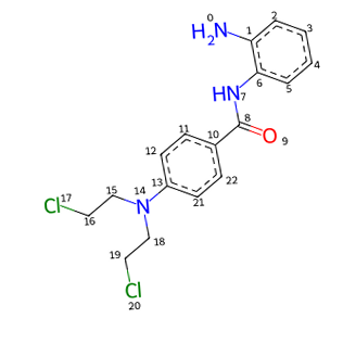 Nc1ccccc1NC(=O)c1ccc(N(CCCl)CCCl)cc1